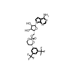 Nc1ncnc2c1ccn2[C@@H]1O[C@H](COP2(=O)OCC[C@@H](c3cc(C(F)(F)F)cc(C(F)(F)F)c3)O2)[C@@H](O)[C@H]1O